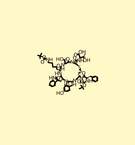 C[C@@H](O)[C@H](NC(=O)[C@@H]1CSSC[C@H](NC(=O)[C@@H](Cc2ccccc2)NC(=O)OC(C)(C)C)C(=O)N[C@@H](Cc2ccc(O)cc2)C(=O)N[C@H](Cc2c[nH]c3ccccc23)C(=O)N[C@@H](CCCCCNC(=O)OC(C)(C)C)C(=O)N[C@@H]([C@@H](C)O)C(=O)N1)C(=O)O